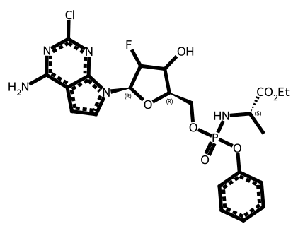 CCOC(=O)[C@H](C)NP(=O)(OC[C@H]1O[C@@H](n2ccc3c(N)nc(Cl)nc32)C(F)C1O)Oc1ccccc1